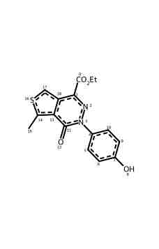 CCOC(=O)c1nn(-c2ccc(O)cc2)c(=O)c2c(C)scc12